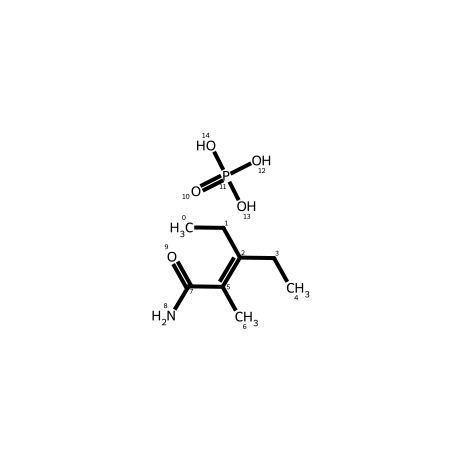 CCC(CC)=C(C)C(N)=O.O=P(O)(O)O